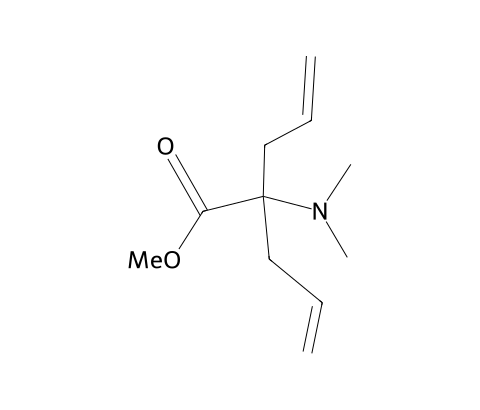 C=CCC(CC=C)(C(=O)OC)N(C)C